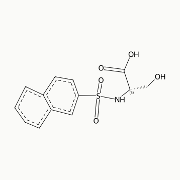 O=C(O)[C@H](CO)NS(=O)(=O)c1ccc2ccccc2c1